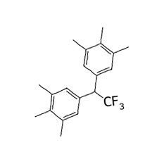 Cc1cc(C(c2cc(C)c(C)c(C)c2)C(F)(F)F)cc(C)c1C